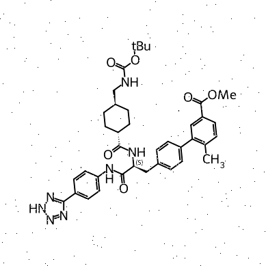 COC(=O)c1ccc(C)c(-c2ccc(C[C@H](NC(=O)[C@H]3CC[C@H](CNC(=O)OC(C)(C)C)CC3)C(=O)Nc3ccc(-c4nn[nH]n4)cc3)cc2)c1